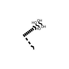 C=C.C=C.C=C.C=C.C=C.C=C.C=C.C=C.C=C.C=CC.C=CC.OCCO.OCCO